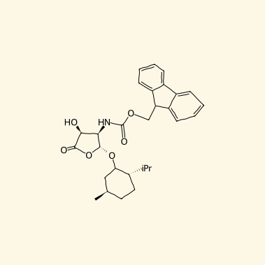 CC(C)[C@@H]1CC[C@@H](C)CC1O[C@@H]1OC(=O)[C@@H](O)[C@H]1NC(=O)OCC1c2ccccc2-c2ccccc21